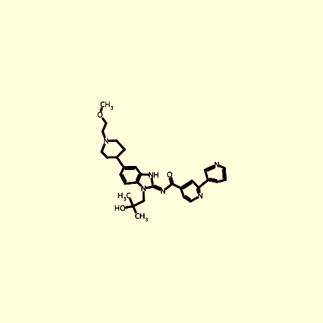 COCCN1CCC(c2ccc3c(c2)[nH]/c(=N\C(=O)c2ccnc(-c4cccnc4)c2)n3CC(C)(C)O)CC1